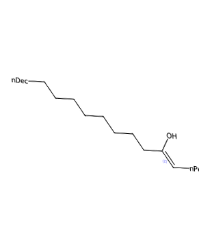 CCCCC/C=C(\O)CCCCCCCCCCCCCCCCCC